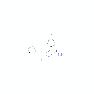 CCn1nc2c(N)nc3cc(O)ccc3c2c1CCc1ccccc1